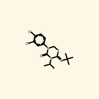 CC(C)N1C(=O)N(c2ccc(Cl)c(Cl)c2)CS/C1=N\C(C)(C)C